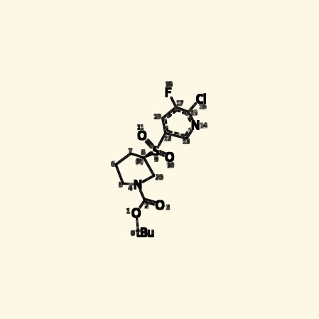 CC(C)(C)OC(=O)N1CCC[C@@H](S(=O)(=O)c2cnc(Cl)c(F)c2)C1